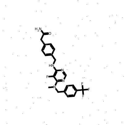 CN(Cc1ccc(C(F)(F)F)cc1)c1ncnc(NCc2ccc(CC(N)=O)cc2)c1F